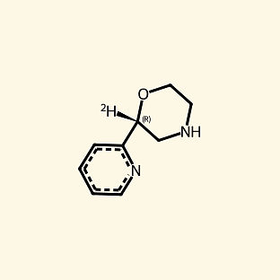 [2H][C@]1(c2ccccn2)CNCCO1